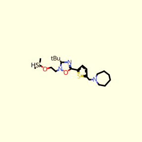 C[SiH](C)OCCN1OC(c2ccc(CN3CCCCCC3)s2)=NC1C(C)(C)C